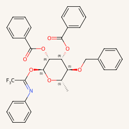 C[C@@H]1O[C@@H](OC(=Nc2ccccc2)C(F)(F)F)[C@H](OC(=O)c2ccccc2)[C@H](OC(=O)c2ccccc2)[C@H]1OCc1ccccc1